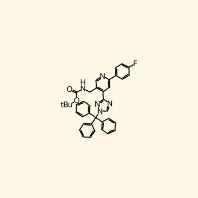 CC(C)(C)OC(=O)NCc1cnc(-c2ccc(F)cc2)cc1-c1ncn(C(c2ccccc2)(c2ccccc2)c2ccccc2)n1